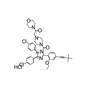 CCOc1cc(C#CC(C)(C)C)ccc1C1=N[C@@H](c2ccc(Cl)cc2)[C@@H](c2ccc(Cl)cc2)N1C(=O)N1CCN(CC(=O)N2CCOCC2)CC1.Cl